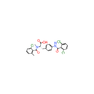 Cc1cccc(Cl)c1C(=O)N(C)[C@@H](Cc1ccc(NC(=O)c2c(Cl)cccc2Cl)cc1)C(=O)O